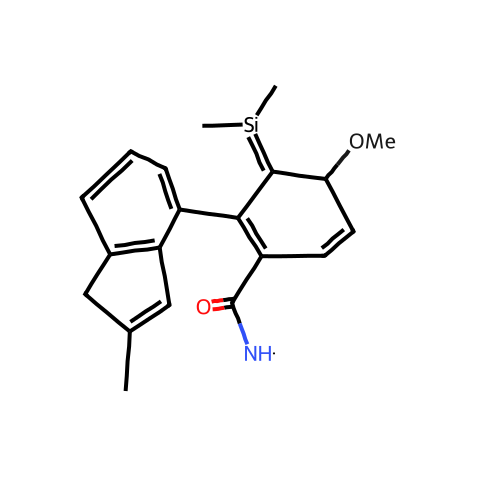 COC1C=CC(C([NH])=O)=C(c2cccc3c2C=C(C)C3)C1=[Si](C)C